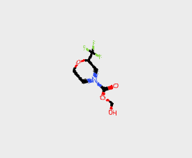 O=C(OCO)N1CCOC(C(F)(F)F)C1